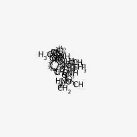 C#CCCC(NC(=O)[C@@H]1[C@@H]2[C@H](CN1C(=O)[C@@H](NC(=O)NC1(CS(=O)(=O)C(C)(C)C)CCCCC1)C1CC/C=C\C=C/C(=C)C1)C2(C)C)C(=O)C(=O)NCC=C